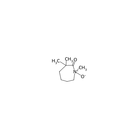 CC1(C)CCCC[N+](C)([O-])C1=O